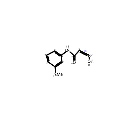 CSc1cccc(NC(=O)/C=N\O)c1